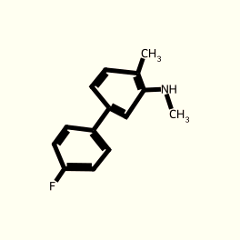 CNc1cc(-c2ccc(F)cc2)ccc1C